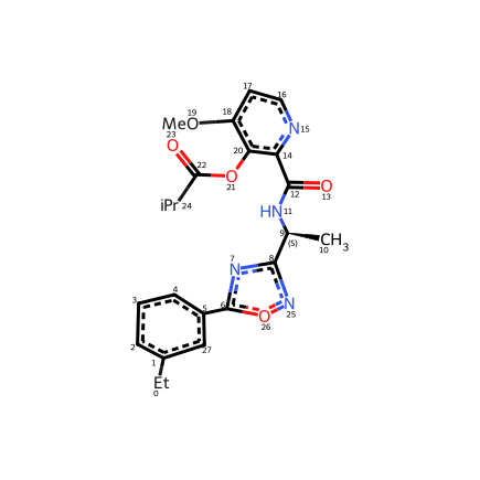 CCc1cccc(-c2nc([C@H](C)NC(=O)c3nccc(OC)c3OC(=O)C(C)C)no2)c1